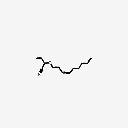 CCCCC/C=C\CCOC(C#N)CC